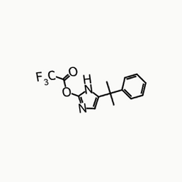 CC(C)(c1ccccc1)c1cnc(OC(=O)C(F)(F)F)[nH]1